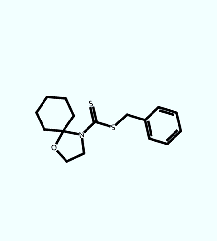 S=C(SCc1ccccc1)N1CCOC12CCCCC2